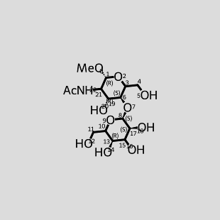 CO[C@@H]1OC(CO)[C@@H](O[C@@H]2OC(CO)[C@H](O)C(O)[C@@H]2O)[C@H](O)C1NC(C)=O